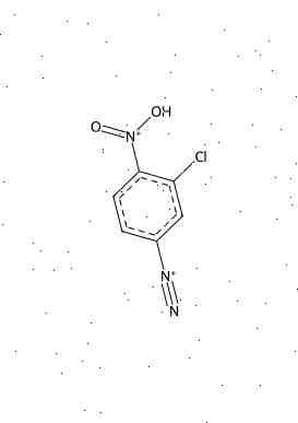 N#[N+]c1ccc([N+](=O)O)c(Cl)c1